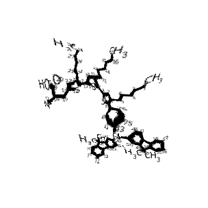 CCCCCCc1cc(-c2sc(-c3sc(/C=C(/C#N)C(=O)O)cc3CCCCCC)cc2CCCCCC)sc1-c1ccc(N(c2ccc3c(c2)C(C)(C)c2ccccc2-3)c2ccc3c(c2)C(C)(C)c2ccccc2-3)cc1